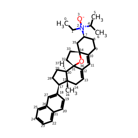 CC[N+]([O-])(C(C)C)[C@H]1CCC2=CC3=CC[C@]4(C)[C@@H](c5ccc6ccccc6c5)CC[C@H]4[C@@]34CC[C@]2(C1)O4